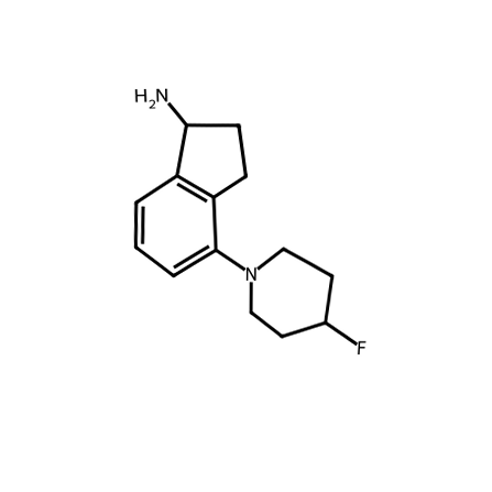 NC1CCc2c1cccc2N1CCC(F)CC1